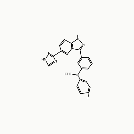 O=CN(c1ccc(F)cc1)c1cccc(-c2n[nH]c3ccc(-c4nc[nH]n4)cc23)c1